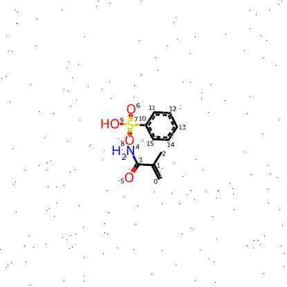 C=C(C)C(N)=O.O=S(=O)(O)c1ccccc1